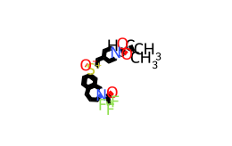 CC(C)(C)OC(=O)N1CCC(CC[S+]([O-])c2ccc3c(c2)CN(C(=O)C(F)(F)F)CCC3)CC1